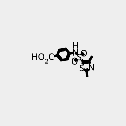 Cc1nc(C)c(S(=O)(=O)Nc2ccc(C(=O)O)cc2)s1